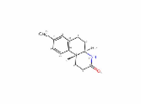 C[C@]12CCC(=O)N[C@@H]1CCc1cc(C=O)ccc12